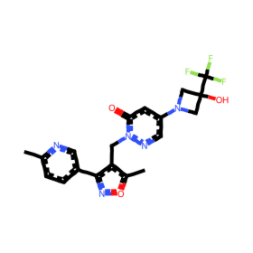 Cc1ccc(-c2noc(C)c2Cn2ncc(N3CC(O)(C(F)(F)F)C3)cc2=O)cn1